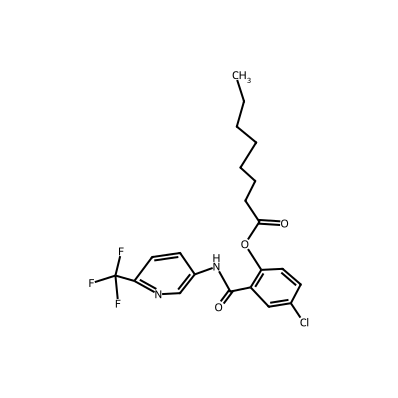 CCCCCCCC(=O)Oc1ccc(Cl)cc1C(=O)Nc1ccc(C(F)(F)F)nc1